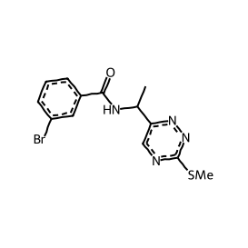 CSc1ncc(C(C)NC(=O)c2cccc(Br)c2)nn1